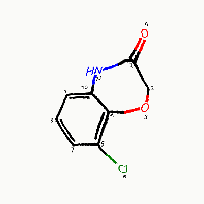 O=C1COc2c(Cl)c[c]cc2N1